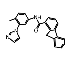 Cc1ccc(NC(=O)c2cccc3c2Cc2ccccc2-3)cc1-n1ccnc1